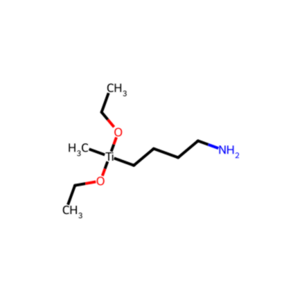 CC[O][Ti]([CH3])([CH2]CCCN)[O]CC